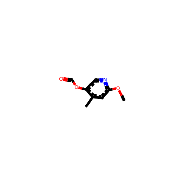 COc1cc(C)c(OC=O)cn1